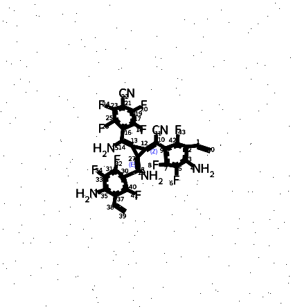 C=Cc1c(N)c(F)c(F)c(/C(C#N)=C2/C(=C(N)c3c(F)c(F)c(C#N)c(F)c3F)/C2=C(/N)c2c(F)c(F)c(N)c(C=C)c2F)c1F